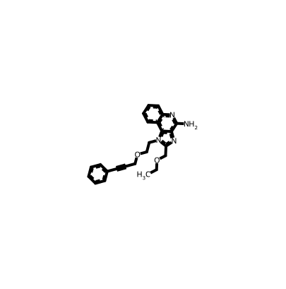 CCOCc1nc2c(N)nc3ccccc3c2n1CCOCC#Cc1ccccc1